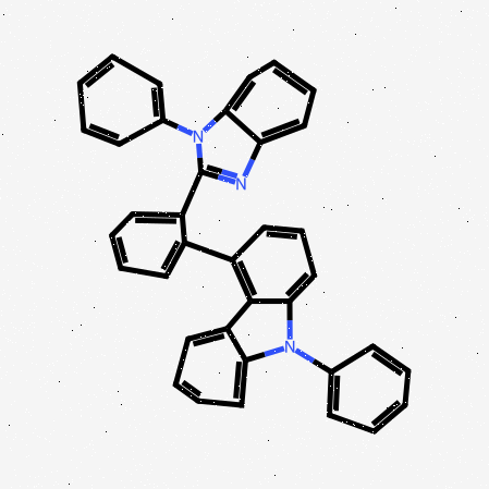 c1ccc(-n2c(-c3ccccc3-c3cccc4c3c3ccccc3n4-c3ccccc3)nc3ccccc32)cc1